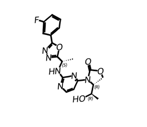 C[C@H](Nc1nccc(N2C(=O)OC[C@@H]2[C@@H](C)O)n1)c1nnc(-c2cccc(F)c2)o1